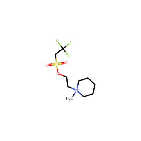 C[N+]1(CCOS(=O)(=O)CC(F)(F)F)CCCCC1